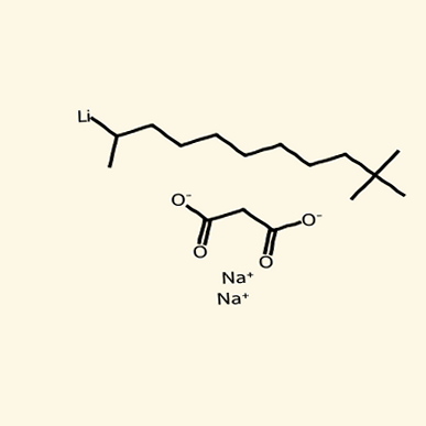 O=C([O-])CC(=O)[O-].[Li][CH](C)CCCCCCCC(C)(C)C.[Na+].[Na+]